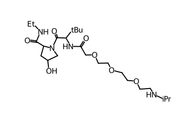 CCNC(=O)C1CC(O)CN1C(=O)C(NC(=O)COCCOCCOCCNC(C)C)C(C)(C)C